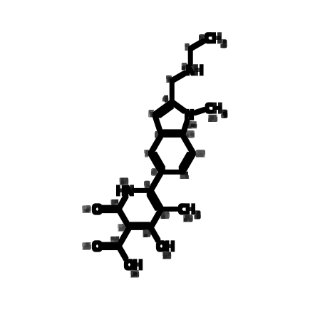 CCNCc1cc2cc(-c3[nH]c(=O)c(C(=O)O)c(O)c3C)ccc2n1C